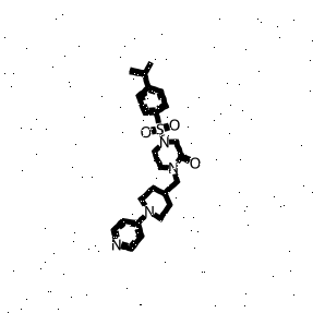 C=C(C)c1ccc(S(=O)(=O)N2CCN(CC3CCN(c4ccncc4)CC3)C(=O)C2)cc1